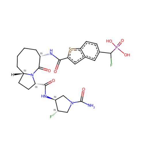 NC(=O)N1C[C@H](NC(=O)[C@@H]2CC[C@@H]3CCCC[C@H](NC(=O)c4cc5cc(C(F)P(=O)(O)O)ccc5s4)C(=O)N32)[C@@H](F)C1